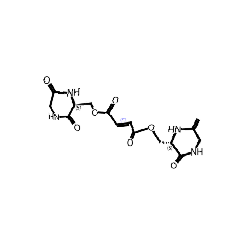 C=C1CNC(=O)[C@H](COC(=O)/C=C/C(=O)OC[C@@H]2NC(=O)CNC2=O)N1